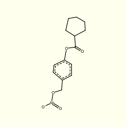 O=C(Oc1ccc(CO[N+](=O)[O-])cc1)C1CCCCC1